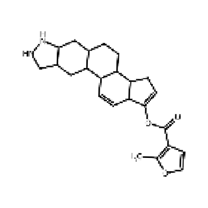 Cc1occc1C(=O)OC1=CCC2C1C=CC1C3CC4CNNC4CC3CCC12